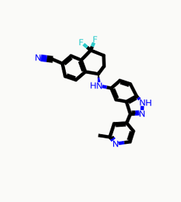 Cc1cc(-c2n[nH]c3ccc(N[C@@H]4CCC(F)(F)c5cc(C#N)ccc54)cc23)ccn1